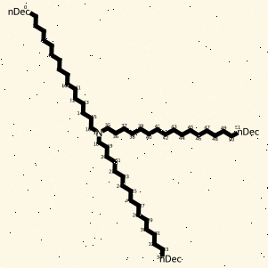 CCCCCCCCCCCCCCCCCCCCCCCCCCN(CCCCCCCCCCCCCCCCCCCCCCCCCC)CCCCCCCCCCCCCCCCCCCCCCCCCC